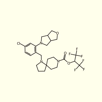 O=C(OC(C(F)(F)F)C(F)(F)F)N1CCC2(CCCN2Cc2ccc(Cl)cc2N2CC3COCC3C2)CC1